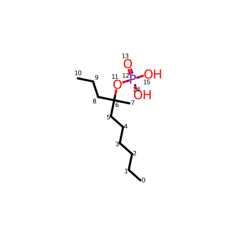 CCCCCCC(C)(CCC)OP(=O)(O)O